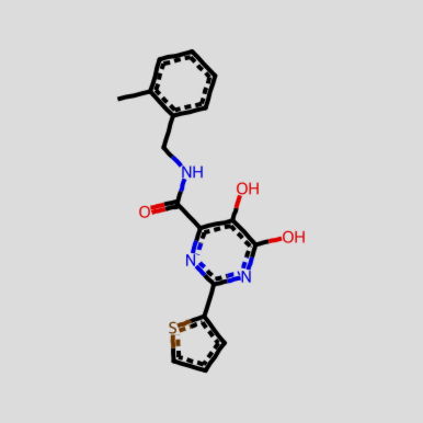 Cc1ccccc1CNC(=O)c1nc(-c2cccs2)nc(O)c1O